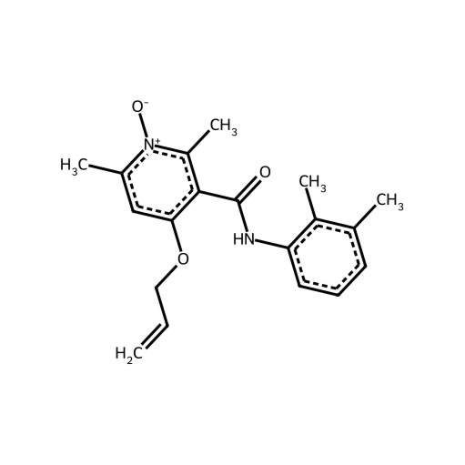 C=CCOc1cc(C)[n+]([O-])c(C)c1C(=O)Nc1cccc(C)c1C